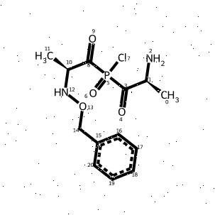 C[C@H](N)C(=O)P(=O)(Cl)C(=O)[C@H](C)NOCc1ccccc1